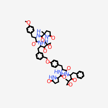 COc1ccc(CC(NC(=O)C2(C)CCC(=O)N2)C(=O)NC(Cc2cccc(COc3ccc(CC(NC(=O)C4CCC(=O)N4)C(=O)NC(Cc4ccccc4)C(=O)C4(C)CO4)cc3)c2)C(=O)C2(C)CO2)cc1